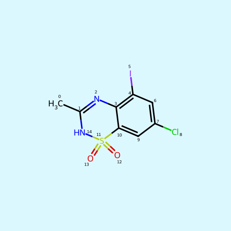 CC1=Nc2c(I)cc(Cl)cc2S(=O)(=O)N1